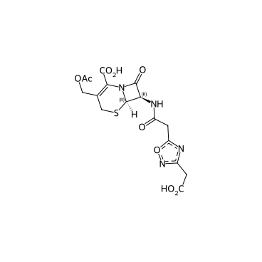 CC(=O)OCC1=C(C(=O)O)N2C(=O)[C@@H](NC(=O)Cc3nc(CC(=O)O)no3)[C@H]2SC1